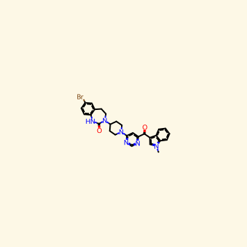 Cn1cc(C(=O)c2cc(N3CCC(N4CCc5cc(Br)ccc5NC4=O)CC3)ncn2)c2ccccc21